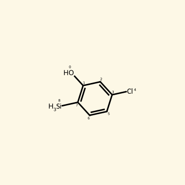 Oc1cc(Cl)ccc1[SiH3]